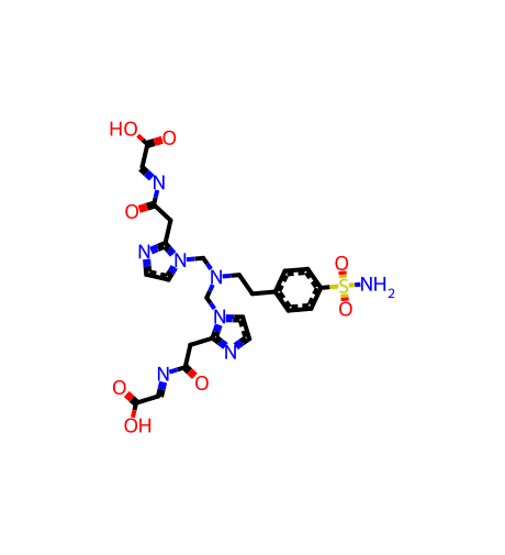 NS(=O)(=O)c1ccc(CCN(Cn2ccnc2CC(=O)N=CC(=O)O)Cn2ccnc2CC(=O)N=CC(=O)O)cc1